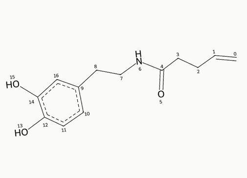 C=CCCC(=O)NCCc1ccc(O)c(O)c1